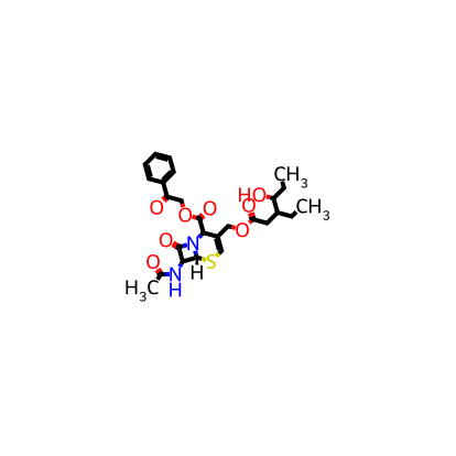 CCC(O)C(CC)CC(=O)OCC1=CS[C@@H]2C(NC(C)=O)C(=O)N2C1C(=O)OCC(=O)c1ccccc1